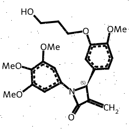 C=C1C(=O)N(c2cc(OC)c(OC)c(OC)c2)[C@H]1c1ccc(OC)c(OCCCO)c1